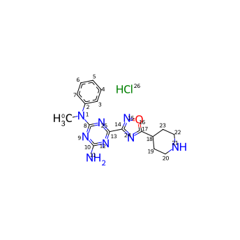 CN(c1ccccc1)c1nc(N)nc(-c2noc(C3CCNCC3)n2)n1.Cl